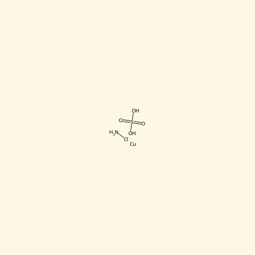 NCl.O=S(=O)(O)O.[Cu]